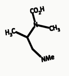 CNCC(C)N(C)C(=O)O